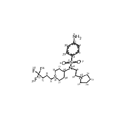 Nc1ccc(S(=O)(=O)N(CCN2CCCC2)C2CCN(CCCC(F)(F)F)CC2)cc1